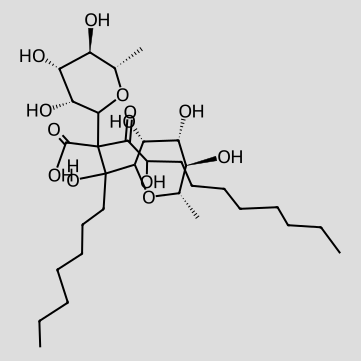 CCCCCCCCC(O)C(=O)C(C(=O)O)(C1O[C@@H](C)[C@H](O)[C@@H](O)[C@H]1O)C(O)(CCCCCCC)C1O[C@@H](C)[C@H](O)[C@@H](O)[C@H]1O